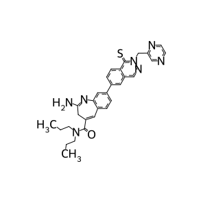 CCCN(CCC)C(=O)C1=Cc2ccc(-c3ccc4c(=S)n(Cc5cnccn5)ncc4c3)cc2N=C(N)C1